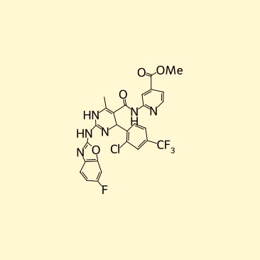 COC(=O)c1ccnc(NC(=O)C2=C(C)NC(Nc3nc4ccc(F)cc4o3)=NC2c2ccc(C(F)(F)F)cc2Cl)c1